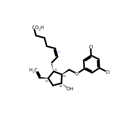 C=C[C@@H]1C[C@@H](O)[C@H](COc2cc(Cl)cc(Cl)c2)[C@H]1C/C=C\CCCC(=O)O